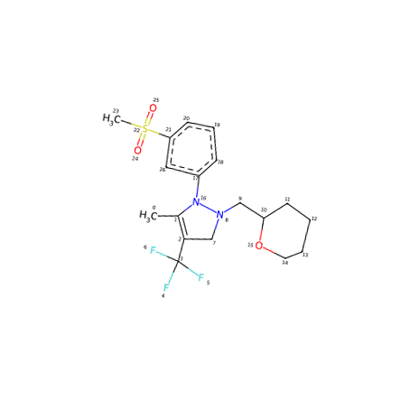 CC1=C(C(F)(F)F)CN(CC2CCCCO2)N1c1cccc(S(C)(=O)=O)c1